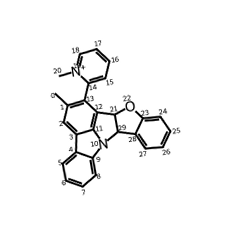 Cc1cc2c3ccccc3n3c2c(c1-c1cccc[n+]1C)C1Oc2ccccc2C13